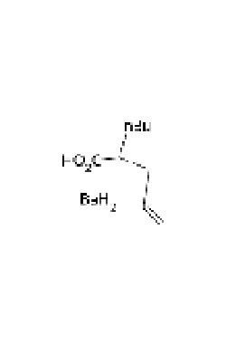 C=CCC(CCCC)C(=O)O.[BaH2]